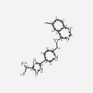 Cc1ccc2ncnc(OCc3ccc(-c4nnc(C(F)F)o4)cn3)c2c1